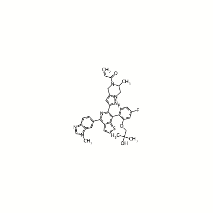 C=CC(=O)N1Cc2cc(-c3nc(-c4ccc5ncn(C)c5c4)c4ccsc4c3-c3c(F)cc(F)cc3OCC(C)(C)O)nn2CC1C